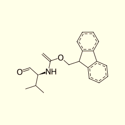 C=C(N[C@H](C=O)C(C)C)OCC1c2ccccc2-c2ccccc21